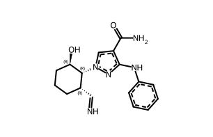 N=C[C@@H]1CCC[C@@H](O)[C@@H]1n1cc(C(N)=O)c(Nc2ccccc2)n1